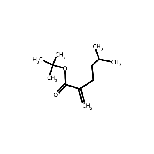 C=C(CCC(C)C)C(=O)OC(C)(C)C